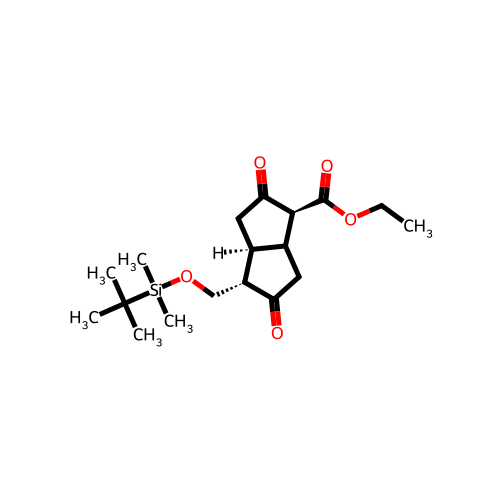 CCOC(=O)[C@@H]1C(=O)C[C@H]2C1CC(=O)[C@@H]2CO[Si](C)(C)C(C)(C)C